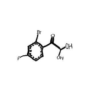 O=C(c1ccc(F)cc1Br)C(O)O